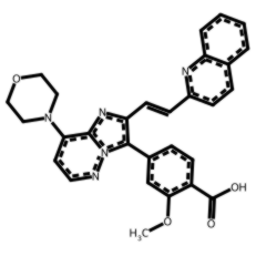 COc1cc(-c2c(C=Cc3ccc4ccccc4n3)nc3c(N4CCOCC4)ccnn23)ccc1C(=O)O